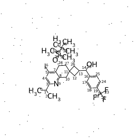 CC(C)c1cc(I)c2c(n1)CC1(CC(C(O)c3ccc(C(F)(F)F)cc3)C1)C[C@H]2O[Si](C)(C)C(C)(C)C